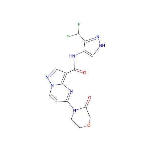 O=C(Nc1c[nH]nc1C(F)F)c1cnn2ccc(N3CCOCC3=O)nc12